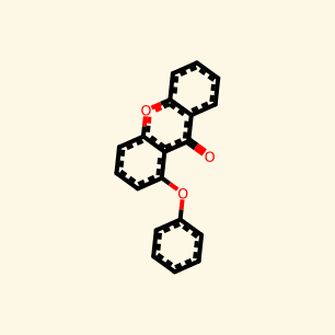 O=c1c2ccccc2oc2cccc(Oc3ccccc3)c12